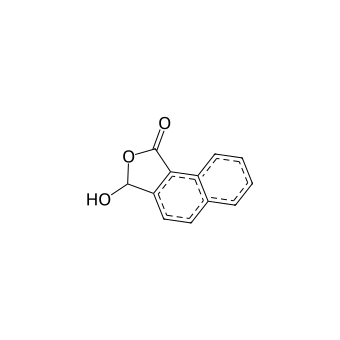 O=C1OC(O)c2ccc3ccccc3c21